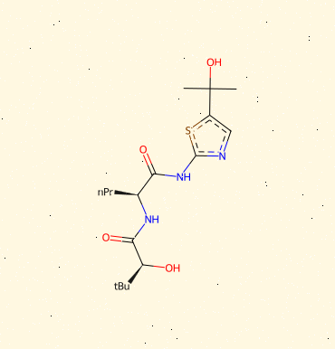 CCC[C@H](NC(=O)[C@@H](O)C(C)(C)C)C(=O)Nc1ncc(C(C)(C)O)s1